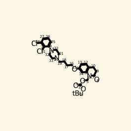 CC(C)(C)OC(=O)OCN1C(=O)CCc2ccc(OCCCCN3CCN(c4cccc(Cl)c4Cl)CC3)cc21